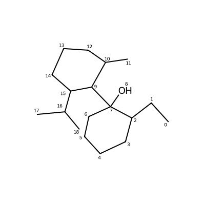 CCC1CCCCC1(O)C1C(C)CCCC1C(C)C